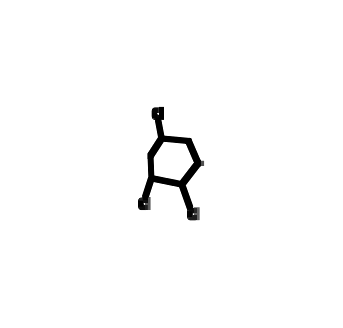 ClC1C[CH]C(Cl)C(Cl)C1